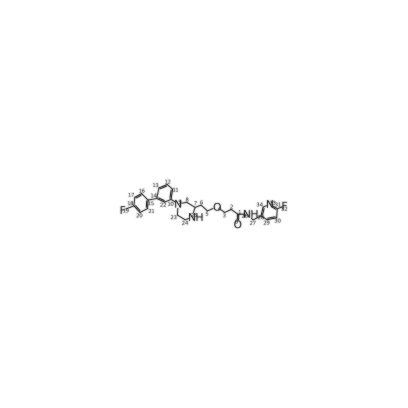 O=C(CCOCCC1CN(c2cccc(-c3ccc(F)cc3)c2)CCN1)NCc1ccc(F)nc1